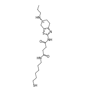 CCCN[C@H]1CCc2nc(NC(=O)CCC(=O)NCCCCCCS)sc2C1